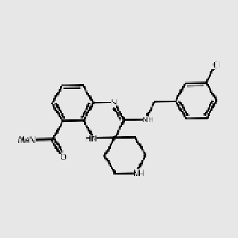 CNC(=O)c1cccc2c1NC1(CCNCC1)C(NCc1cccc(Cl)c1)=N2